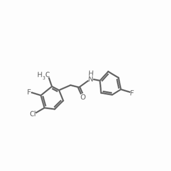 Cc1c(CC(=O)Nc2ccc(F)cc2)ccc(Cl)c1F